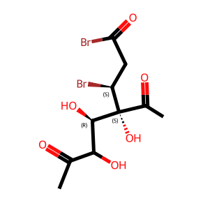 CC(=O)C(O)[C@@H](O)[C@](O)(C(C)=O)[C@@H](Br)CC(=O)Br